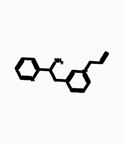 C=CC[n+]1cccc(CC(N)c2ccccn2)c1